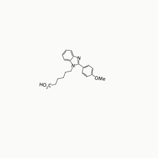 COc1ccc(-c2nc3ccccc3n2CCCCCC(=O)O)cc1